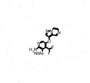 CNc1c(N)ncc(Oc2cnn3ccncc23)c1C(F)F